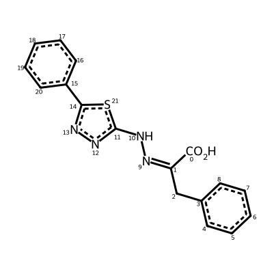 O=C(O)/C(Cc1ccccc1)=N\Nc1nnc(-c2ccccc2)s1